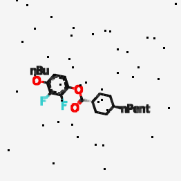 CCCCC[C@H]1CC[C@H](C(=O)Oc2ccc(OCCCC)c(F)c2F)CC1